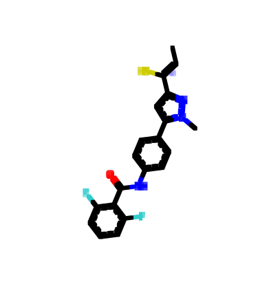 C/C=C(\S)c1cc(-c2ccc(NC(=O)c3c(F)cccc3F)cc2)n(C)n1